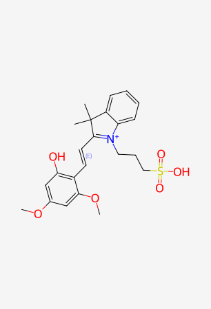 COc1cc(O)c(/C=C/C2=[N+](CCCS(=O)(=O)O)c3ccccc3C2(C)C)c(OC)c1